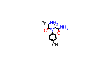 CC(C)[C@H](N)C(=O)N(c1ccc(C#N)cc1)[C@@H](C)C(N)=O